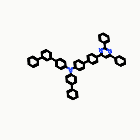 c1ccc(-c2ccc(N(c3ccc(-c4ccc(-c5cc(-c6ccccc6)nc(-c6ccccc6)n5)cc4)cc3)c3ccc(-c4cccc(-c5ccccc5)c4)cc3)cc2)cc1